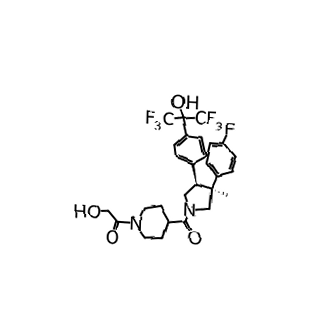 C[C@]1(c2ccc(F)cc2)CN(C(=O)C2CCN(C(=O)CO)CC2)C[C@H]1c1ccc(C(O)(C(F)(F)F)C(F)(F)F)cc1